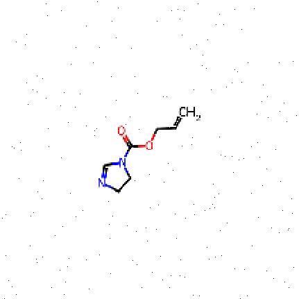 C=CCOC(=O)N1C=NCC1